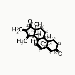 C=C1C(=C)[C@H]2[C@@H]3C=CC4=CC(=O)CC[C@]4(C)[C@@H]3CC[C@]2(C)C1=O